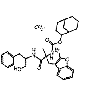 CC(Cc1c(Br)oc2ccccc12)(NC(=O)OC1CCC2CCCC1C2)C(=O)NC(CO)Cc1ccccc1.[CH2]